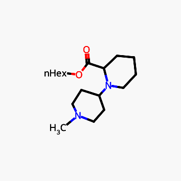 CCCCCCOC(=O)C1CCCCN1C1CCN(C)CC1